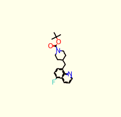 CC(C)(C)OC(=O)N1CCC(Cc2ccc(F)c3cccnc23)CC1